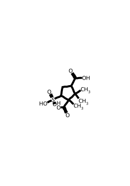 CC1(C)C(C(=O)O)CC(S(=O)(=O)O)C1(C)C(=O)O